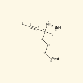 Br.CC#CC(C)(N)CCCCCCCC